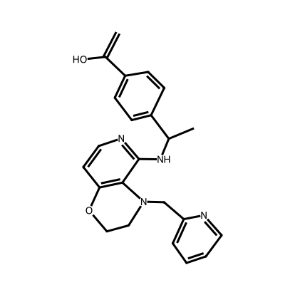 C=C(O)c1ccc(C(C)Nc2nccc3c2N(Cc2ccccn2)CCO3)cc1